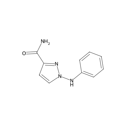 NC(=O)c1ccn(Nc2ccccc2)n1